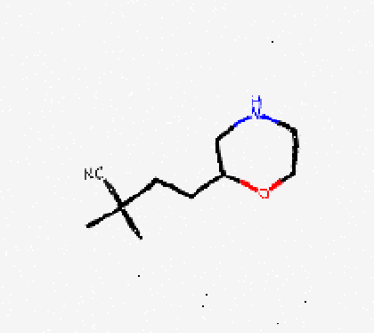 CC(C)(C#N)CCC1CNCCO1